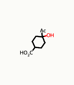 CC(=O)C1(O)CCC(C(=O)O)CC1